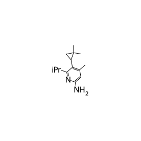 Cc1cc(N)nc(C(C)C)c1C1CC1(C)C